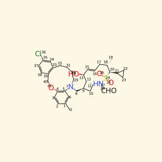 Cc1ccc2c(c1)N(C[C@@H]1CC[C@H]1[C@@H](O)/C=C/C[C@H](C)[C@@H](C1CC1)S(=O)(=O)NC=O)CCCCc1cc(Cl)ccc1CO2